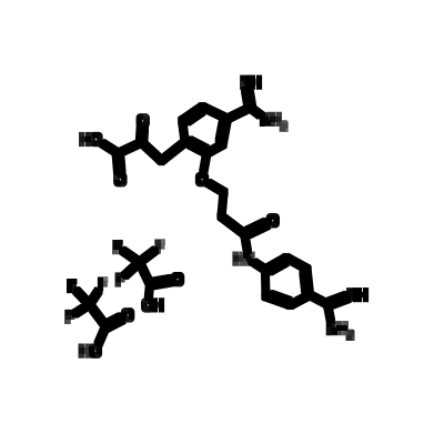 N=C(N)c1ccc(NC(=O)CCOc2cc(C(=N)N)ccc2CC(=O)C(=O)O)cc1.O=C(O)C(F)(F)F.O=C(O)C(F)(F)F